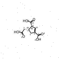 O=C(O)C[C@H]1CC(C(=O)O)=C[C@@H]1C(=O)O